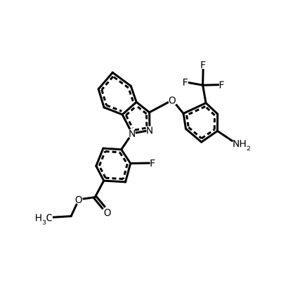 CCOC(=O)c1ccc(-n2nc(Oc3ccc(N)cc3C(F)(F)F)c3ccccc32)c(F)c1